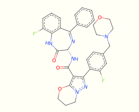 O=C(N[C@H]1N=C(c2ccccc2)c2cccc(F)c2NC1=O)c1c(-c2ccc(CN3CCOCC3)cc2F)nn2c1OCCC2